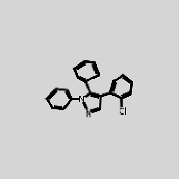 Clc1ccccc1-c1cnn(-c2ccccc2)c1-c1ccccc1